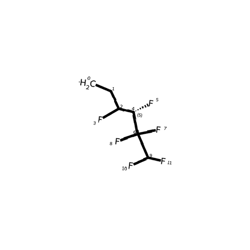 [CH2]CC(F)[C@H](F)C(F)(F)C(F)F